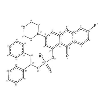 O=c1c2ccc(F)cc2oc2cc(N3CCOCC3)cc(OP(=O)(O)OC(Cc3ccccc3)c3ccccc3)c12